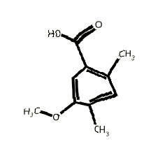 COc1cc(C(=O)O)c(C)cc1C